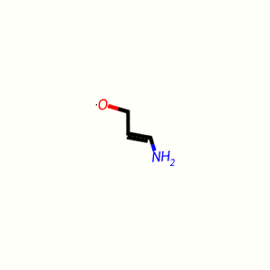 NC=CC[O]